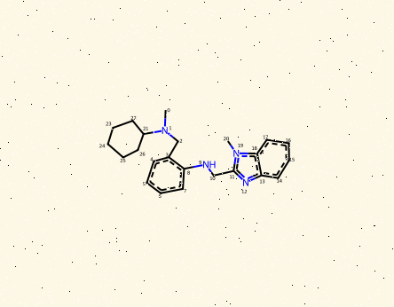 CN(Cc1ccccc1NCc1nc2ccccc2n1C)C1CCCCC1